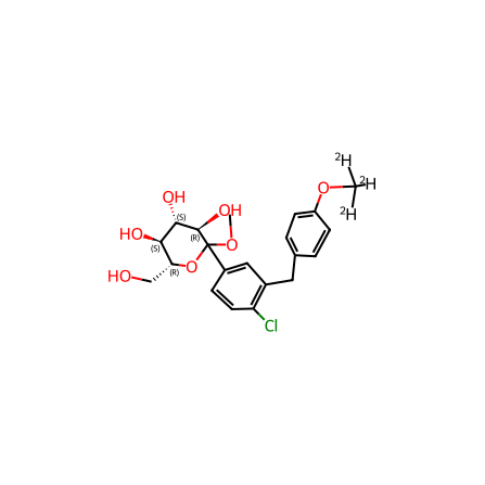 [2H]C([2H])([2H])Oc1ccc(Cc2cc(C3(OC)O[C@H](CO)[C@@H](O)[C@H](O)[C@H]3O)ccc2Cl)cc1